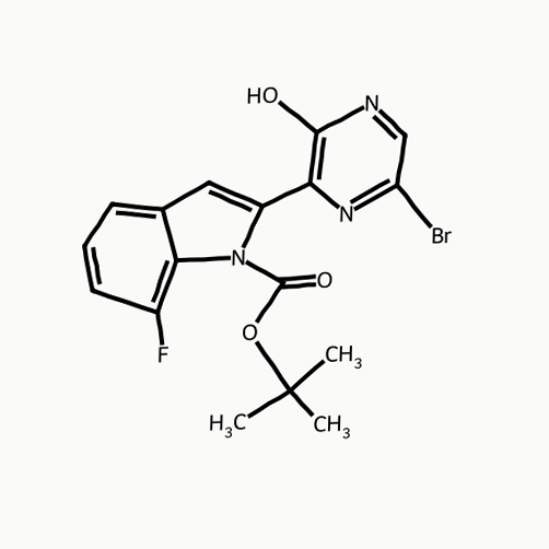 CC(C)(C)OC(=O)n1c(-c2nc(Br)cnc2O)cc2cccc(F)c21